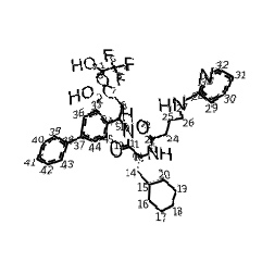 O=C(O)C(F)(F)F.O=C(O)CC(NC(=O)[C@@H](CC1CCCCC1)NC(=O)CCCNc1ccccn1)c1ccc(-c2ccccc2)cc1